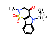 C=C.CN1CC(=O)c2c(c3ccccc3n2C)S1(=O)=O